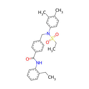 CCc1ccccc1NC(=O)c1ccc(CN(c2ccc(C)c(C)c2)S(=O)(=O)CC)cc1